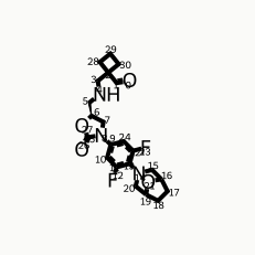 O=CC1(CNC[C@H]2CN(c3cc(F)c(N4CC5CCC(C4)O5)c(F)c3)C(=O)O2)CCC1